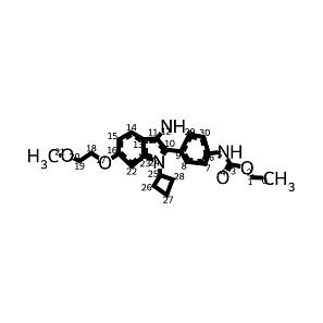 CCOC(=O)Nc1ccc(-c2c(N)c3ccc(OCCOC)cc3n2C2CCC2)cc1